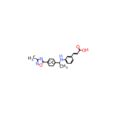 Cc1noc(C23CCC(C(C)Nc4cccc(/C=C/C(=O)O)c4)(CC2)CC3)n1